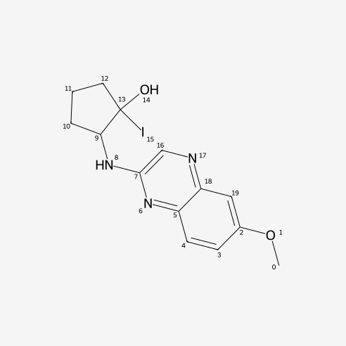 COc1ccc2nc(NC3CCCC3(O)I)cnc2c1